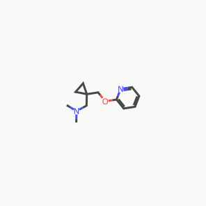 CN(C)CC1(COc2ccccn2)CC1